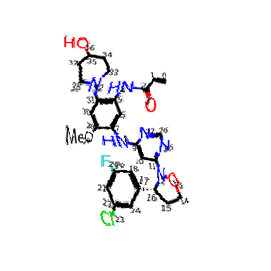 C=CC(=O)Nc1cc(Nc2cc(N3OCC[C@@H]3c3cc(F)cc(Cl)c3)ncn2)c(OC)cc1N1CCC(O)CC1